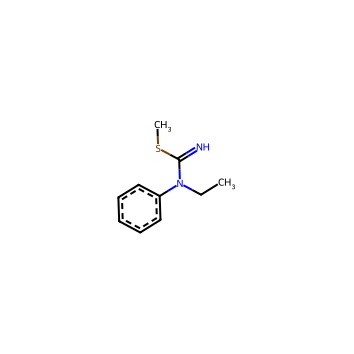 CCN(C(=N)SC)c1ccccc1